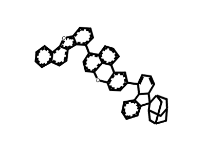 C1=CC2C(C(c3ccc4c(c3)-c3cccc5c(-c6cccc7oc8c9ccccc9ccc8c67)ccc(c35)O4)=C1)c1ccccc1C21C2CC3CC(C2)CC1C3